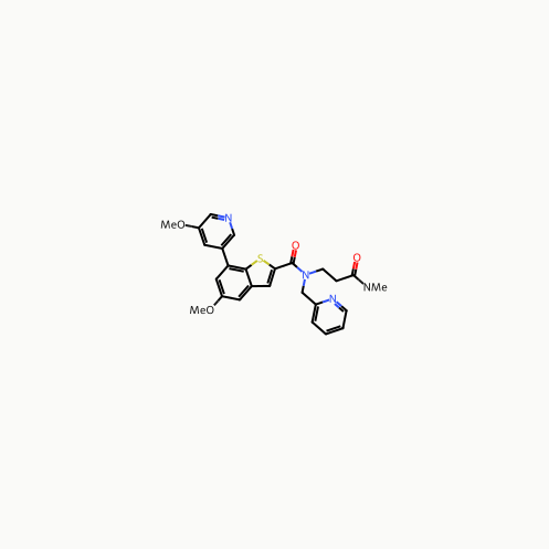 CNC(=O)CCN(Cc1ccccn1)C(=O)c1cc2cc(OC)cc(-c3cncc(OC)c3)c2s1